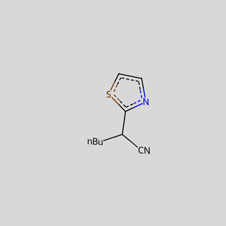 CCCCC(C#N)c1nccs1